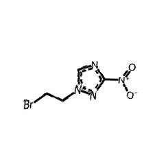 O=[N+]([O-])c1ncn(CCBr)n1